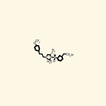 CC1CN(CCCc2ccc(OC(F)(F)F)cc2)C[C@H](C)N1S(=O)(=O)c1cccc(CC(=O)O)c1